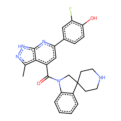 Cc1n[nH]c2nc(-c3ccc(O)c(F)c3)cc(C(=O)N3CC4(CCNCC4)c4ccccc43)c12